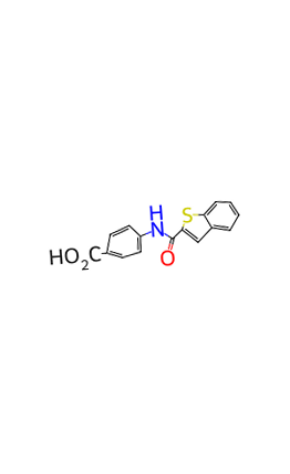 O=C(O)c1ccc(NC(=O)c2cc3ccccc3s2)cc1